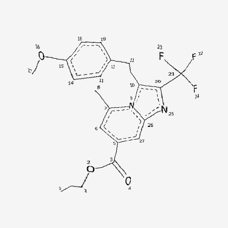 CCOC(=O)c1cc(C)n2c(Cc3ccc(OC)cc3)c(C(F)(F)F)nc2c1